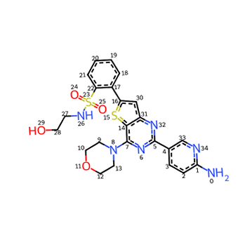 Nc1ccc(-c2nc(N3CCOCC3)c3sc(-c4ccccc4S(=O)(=O)NCCO)cc3n2)cn1